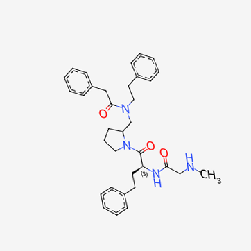 CNCC(=O)N[C@@H](CCc1ccccc1)C(=O)N1CCCC1CN(CCc1ccccc1)C(=O)Cc1ccccc1